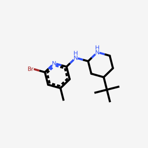 Cc1cc(Br)nc(NC2CC(C(C)(C)C)CCN2)c1